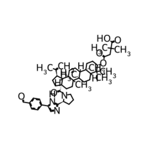 C=C(C)[C@@H]1CC[C@]2(C(=O)N3CCC[C@H]3c3ncc(-c4ccc(C=O)cc4)[nH]3)CC[C@]3(C)[C@H](CC[C@@H]4[C@@]5(C)CC[C@H](OC(=O)CC(C)(C)C(=O)O)C(C)(C)[C@@H]5CC[C@]43C)[C@@H]12